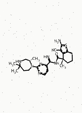 C[C@H]1CNC(C)(C)CCN1c1nccc(C(=N)NC(=O)[C@@]2(C)CCCc3sc(N)c(C#N)c32)n1